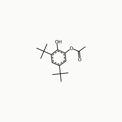 CC(=O)Oc1cc(C(C)(C)C)cc(C(C)(C)C)c1O